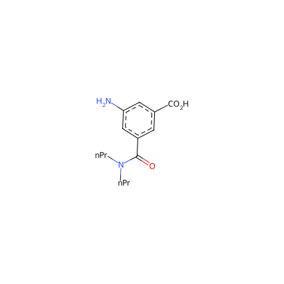 CCCN(CCC)C(=O)c1cc(N)cc(C(=O)O)c1